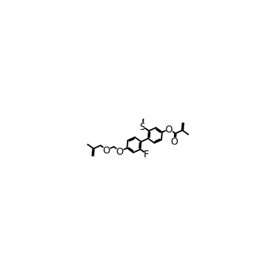 C=C(C)COCOc1ccc(-c2ccc(OC(=O)C(=C)C)cc2SC)c(F)c1